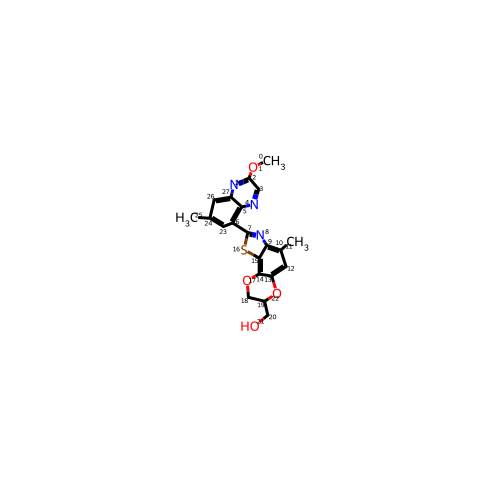 COc1cnc2c(-c3nc4c(C)cc5c(c4s3)OCC(CO)O5)cc(C)cc2n1